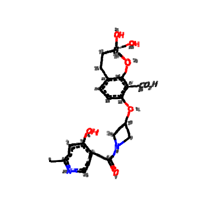 Cc1cc(O)c(C(=O)N2CC(Oc3ccc4c(c3C(=O)O)O[B-](O)(O)CC4)C2)cn1